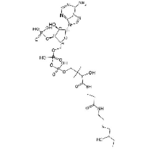 CCC(O)CSCCNC(=O)CCNC(=O)C(O)C(C)(C)COP(=O)(O)OP(=O)(O)OC[C@H]1O[C@@H](n2cnc3c(N)ncnc32)[C@H](O)[C@@H]1OP(=O)(O)O